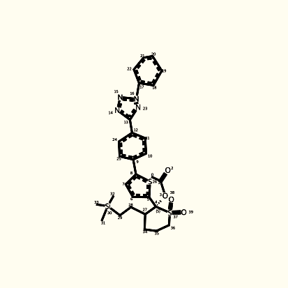 CC(=O)O[C@@]1(c2ccc(-c3ccc(-c4nnn(-c5ccccc5)n4)cc3)s2)C(CC[Si](C)(C)C)CCCS1(=O)=O